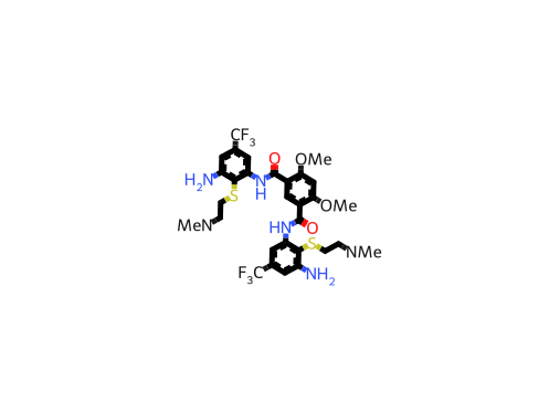 CNCCSc1c(N)cc(C(F)(F)F)cc1NC(=O)c1cc(C(=O)Nc2cc(C(F)(F)F)cc(N)c2SCCNC)c(OC)cc1OC